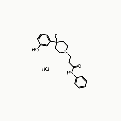 Cl.O=C(CCN1CCC(F)(c2cccc(O)c2)CC1)Nc1ccccc1